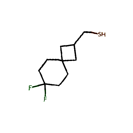 FC1(F)CCC2(CC1)CC(CS)C2